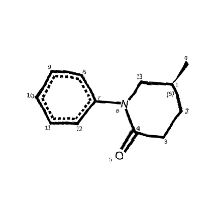 C[C@H]1CCC(=O)N(c2ccccc2)C1